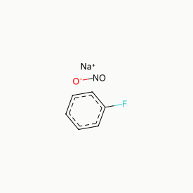 Fc1ccccc1.O=N[O-].[Na+]